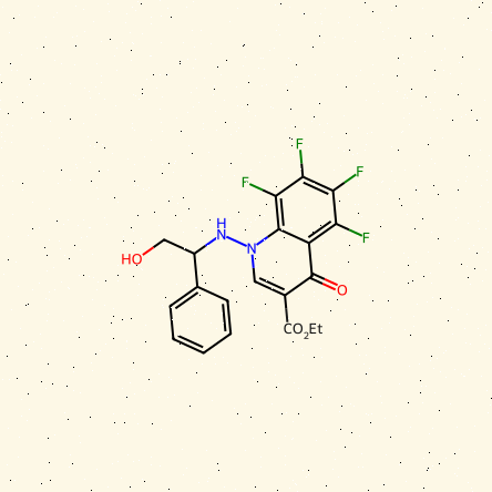 CCOC(=O)c1cn(NC(CO)c2ccccc2)c2c(F)c(F)c(F)c(F)c2c1=O